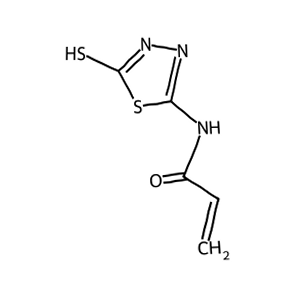 C=CC(=O)Nc1nnc(S)s1